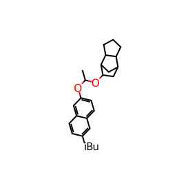 CCC(C)c1ccc2cc(OC(C)OC3CC4CC3C3CCCC43)ccc2c1